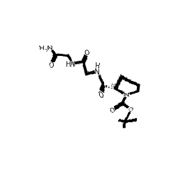 CC(C)(C)OC(=O)N1CCC[C@H]1C(=O)NCC(=O)NCC(N)=O